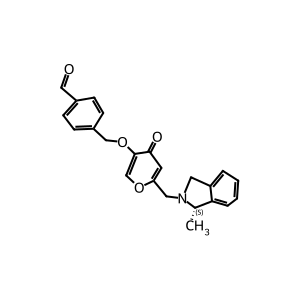 C[C@H]1c2ccccc2CN1Cc1cc(=O)c(OCc2ccc(C=O)cc2)co1